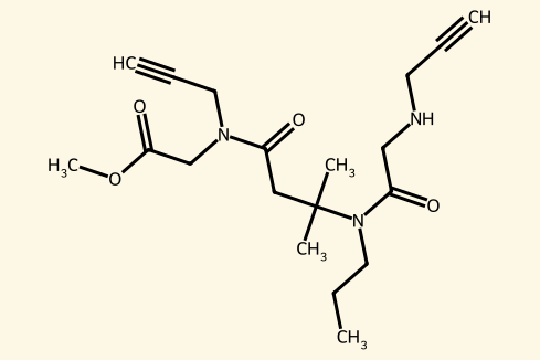 C#CCNCC(=O)N(CCC)C(C)(C)CC(=O)N(CC#C)CC(=O)OC